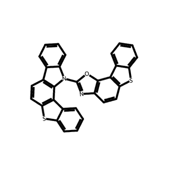 c1ccc2c(c1)sc1ccc3nc(-n4c5ccccc5c5ccc6sc7ccccc7c6c54)oc3c12